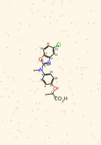 CC(Oc1ccc(N(C)c2nc3cc(Cl)ccc3o2)cc1)C(=O)O